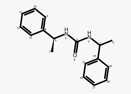 CC(NC(=O)N[C@@H](C)c1ccccc1)c1ccccc1